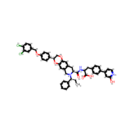 CC[C@@H](c1ccccc1)N1Cc2cc3c(cc2C[C@H]1C(=O)NC(Cc1ccc(-c2ccnc(O)c2)cc1)C(=O)O)OC[C@H](c1ccc(OCc2ccc(Cl)c(Cl)c2)cc1)O3